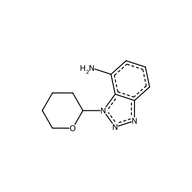 Nc1cccc2nnn(C3CCCCO3)c12